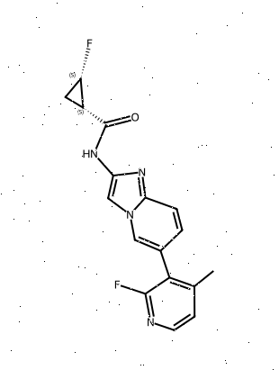 Cc1ccnc(F)c1-c1ccc2nc(NC(=O)[C@@H]3C[C@@H]3F)cn2c1